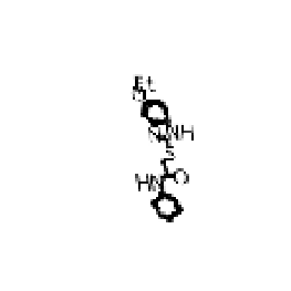 CCOc1ccc2[nH]c(SCC(=O)Nc3ccccc3)nc2c1